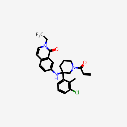 C=CC(=O)N1CCCC(Nc2ccc3ccn(CC(F)(F)F)c(=O)c3c2)(c2cccc(Cl)c2C)C1